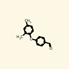 Cc1ccc(Oc2ccc(C=O)cc2)c(C)c1